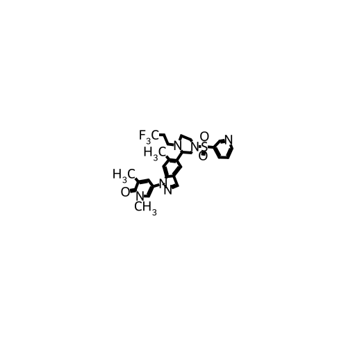 Cc1cc2c(cnn2-c2cc(C)c(=O)n(C)c2)cc1C1CN(S(=O)(=O)c2cccnc2)CCN1CCC(F)(F)F